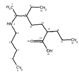 CCCCCNC(C)C(CC)CCC(CCC)C(=O)O